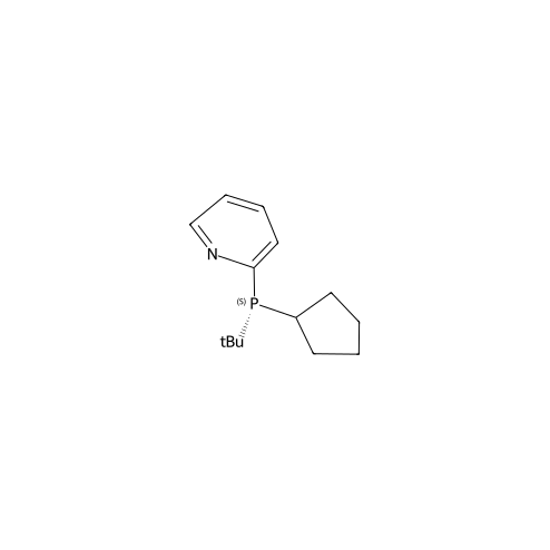 CC(C)(C)[P@](c1ccccn1)C1CCCC1